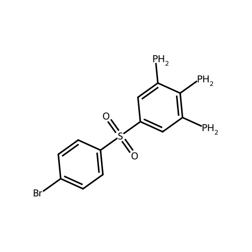 O=S(=O)(c1ccc(Br)cc1)c1cc(P)c(P)c(P)c1